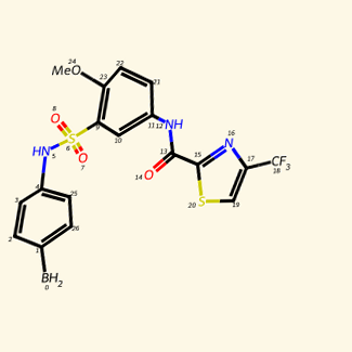 Bc1ccc(NS(=O)(=O)c2cc(NC(=O)c3nc(C(F)(F)F)cs3)ccc2OC)cc1